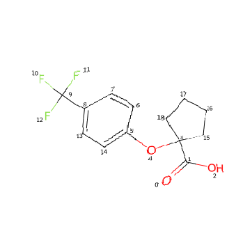 O=C(O)C1(Oc2ccc(C(F)(F)F)cc2)CCCC1